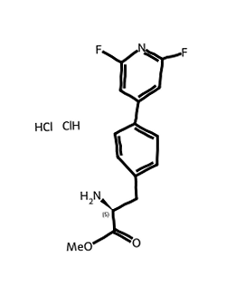 COC(=O)[C@@H](N)Cc1ccc(-c2cc(F)nc(F)c2)cc1.Cl.Cl